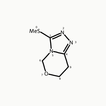 CSc1nnc2n1COCC2